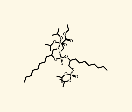 CCCCCCCCC(CSP(=O)(OC(C)C)OC(C)C)OP(=S)(OC(CCCCCCCC)CSP(=O)(OC(C)C)OC(C)C)SCCC(=O)OCC